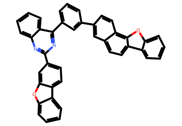 c1cc(-c2ccc3c(ccc4c5ccccc5oc34)c2)cc(-c2nc(-c3ccc4c(c3)oc3ccccc34)nc3ccccc23)c1